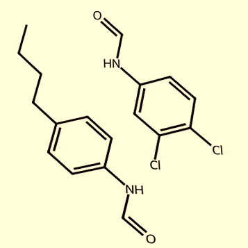 CCCCc1ccc(NC=O)cc1.O=CNc1ccc(Cl)c(Cl)c1